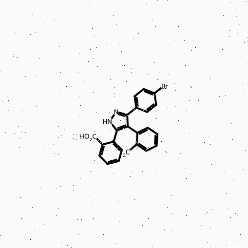 O=C(O)c1ccccc1-c1[nH]nc(-c2ccc(Br)cc2)c1-c1ccccc1C(F)(F)F